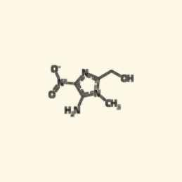 Cn1c(CO)nc([N+](=O)[O-])c1N